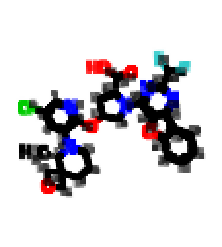 C[C@@H]1N(c2cc(Cl)cnc2O[C@H]2C[C@@H](C(=O)O)N(c3nc(C(F)F)nc4c3oc3ccccc34)C2)CCCC12COC2